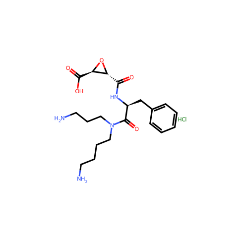 Cl.NCCCCN(CCCN)C(=O)[C@H](Cc1ccccc1)NC(=O)[C@H]1O[C@@H]1C(=O)O